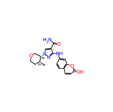 C[C@H]1CCOC[C@@H]1n1cc(C(N)=O)c(Nc2ccc3c(c2)OB(O)C=C3)n1